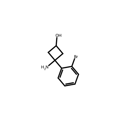 NC1(c2ccccc2Br)CC(O)C1